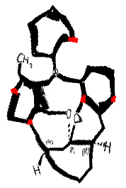 Cc1ccc2c(c1P(c1ccccc1)c1ccccc1)O[C@]13Oc4c(cccc4P(c4ccccc4)c4ccccc4)C[C@H]1CCC[C@@H]3C2